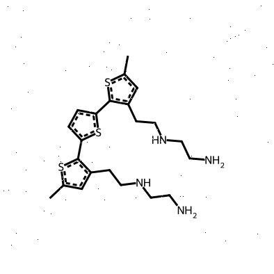 Cc1cc(CCNCCN)c(-c2ccc(-c3sc(C)cc3CCNCCN)s2)s1